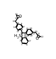 c1ccc([SiH2]C(c2ccc(CC3CO3)cc2)c2ccc(CC3CO3)cc2)cc1